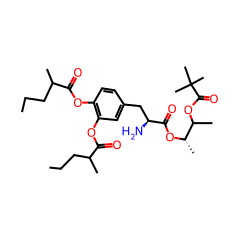 CCCC(C)C(=O)Oc1ccc(C[C@H](N)C(=O)O[C@@H](C)C(C)OC(=O)C(C)(C)C)cc1OC(=O)C(C)CCC